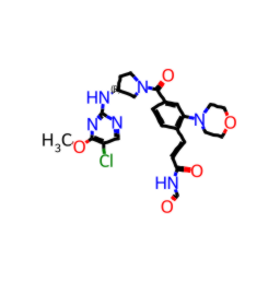 COc1nc(N[C@@H]2CCN(C(=O)c3ccc(C=CC(=O)NC=O)c(N4CCOCC4)c3)C2)ncc1Cl